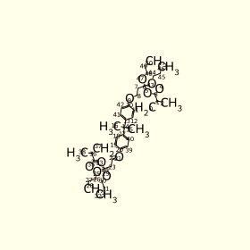 C=C(C)C(=O)OC(CCOc1ccc(C(C)(C)c2ccc(OCCC(OCCC)(OCCC)OC(=O)C(=C)C)cc2)cc1)(OCCC)OCCC